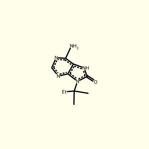 CCC(C)(C)n1c(=O)[nH]c2c(N)ncnc21